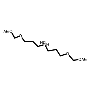 COCOCCCNCCCOCOC.Cl